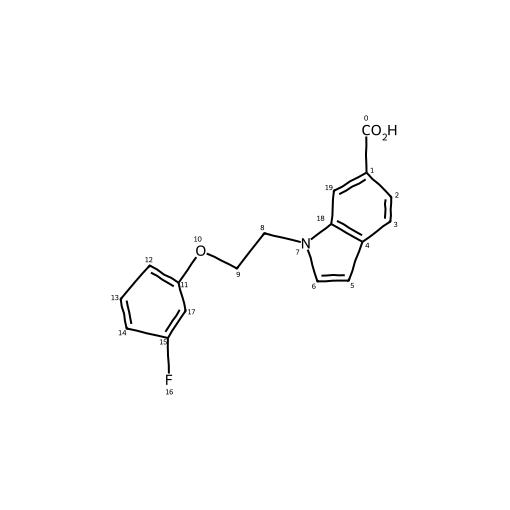 O=C(O)c1ccc2ccn(CCOc3cccc(F)c3)c2c1